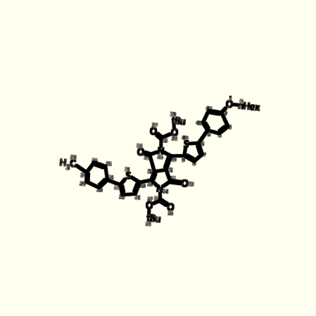 CCCCCCOc1ccc(-c2ccc(C3=C4C(=O)N(C(=O)OC(C)(C)C)C(c5ccc(-c6ccc(C)cc6)s5)=C4C(=O)N3C(=O)OC(C)(C)C)s2)cc1